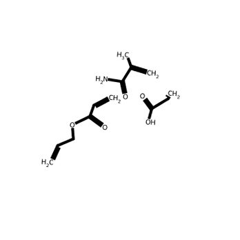 C=C(C)C(N)=O.C=CC(=O)O.C=CCOC(=O)C=C